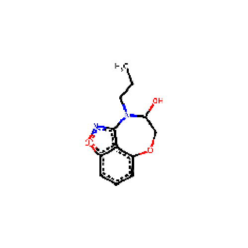 CCCN1c2noc3cccc(c23)OCC1O